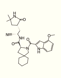 COc1cccc2[nH]c(C(=O)N3CC4(CCCCC4)C[C@H]3C(=O)N[C@H](C#N)C[C@@H]3CC(C)(C)NC3=O)cc12